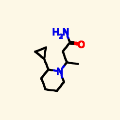 CC(CC(N)=O)N1CCCCC1C1CC1